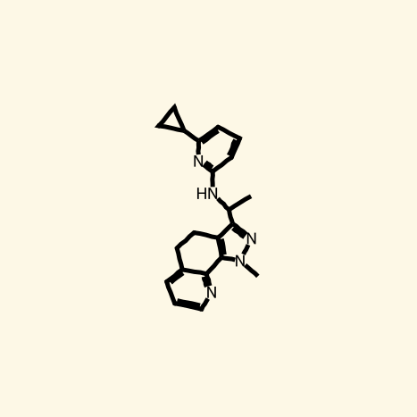 CC(Nc1cccc(C2CC2)n1)c1nn(C)c2c1CCc1cccnc1-2